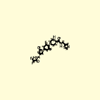 O=C(NC[C@H]1CN(C2=CC(F)=C(N3CCNN(C(=O)NCc4cncs4)CC3)C(F)C2)C(=O)O1)C(F)F